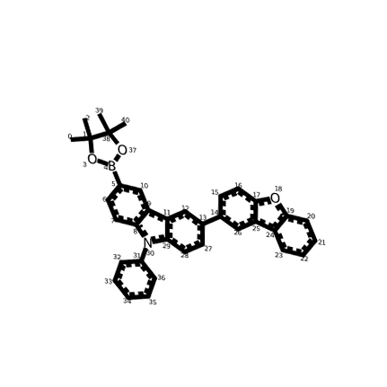 CC1(C)OB(c2ccc3c(c2)c2cc(-c4ccc5oc6ccccc6c5c4)ccc2n3-c2ccccc2)OC1(C)C